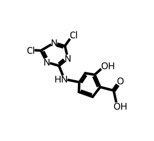 O=C(O)c1ccc(Nc2nc(Cl)nc(Cl)n2)cc1O